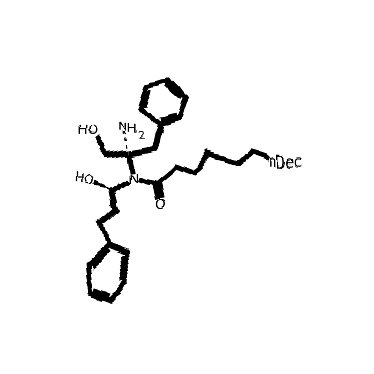 CCCCCCCCCCCCCCCC(=O)N([C@H](O)CCc1ccccc1)[C@@](N)(CO)Cc1ccccc1